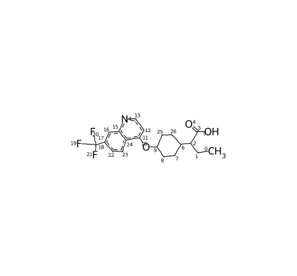 CCC(C(=O)O)C1CCC(Oc2ccnc3cc(C(F)(F)F)ccc23)CC1